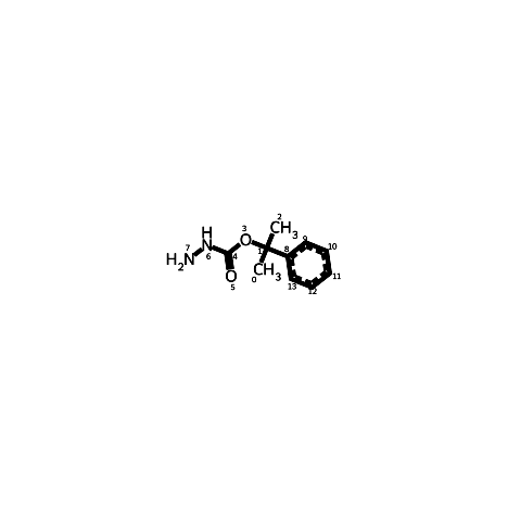 CC(C)(OC(=O)NN)c1ccccc1